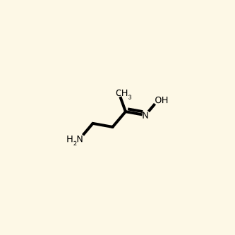 C/C(CCN)=N\O